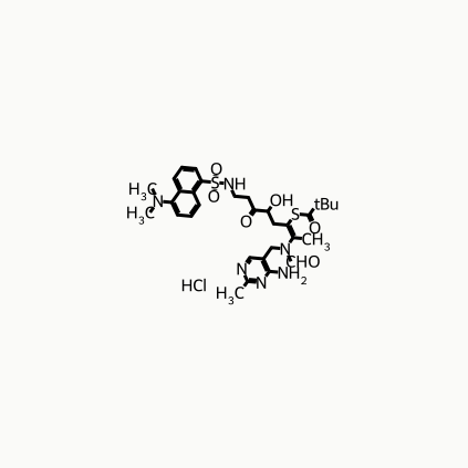 CC(=C(CC(O)C(=O)CCNS(=O)(=O)c1cccc2c(N(C)C)cccc12)SC(=O)C(C)(C)C)N(C=O)Cc1cnc(C)nc1N.Cl